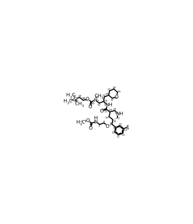 COC(=O)NCCO[C@@H](c1cccc(F)c1)[C@H]1CNCC(C(=O)NC(CC2CCCOC2)CN(C)C(=O)OCC[Si](C)(C)C)C1